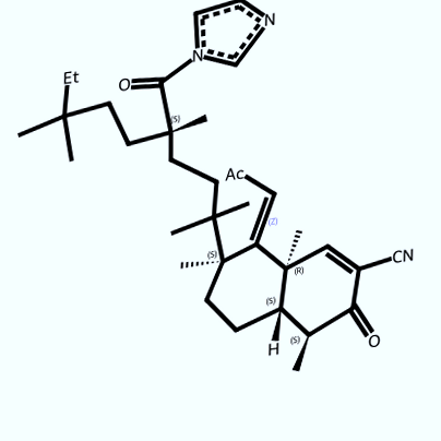 CCC(C)(C)CC[C@@](C)(CCC(C)(C)[C@]1(C)CC[C@H]2[C@H](C)C(=O)C(C#N)=C[C@]2(C)/C1=C/C(C)=O)C(=O)n1ccnc1